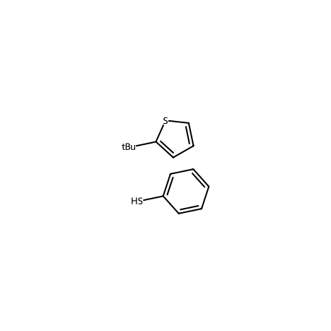 CC(C)(C)c1cccs1.Sc1ccccc1